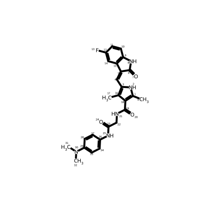 Cc1[nH]c(/C=C2\C(=O)Nc3ccc(F)cc32)c(C)c1C(=O)NCC(=O)Nc1ccc(N(C)C)cc1